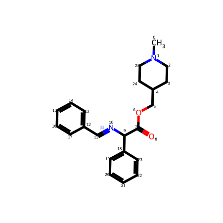 CN1CCC(COC(=O)C(/N=C/c2ccccc2)c2ccccc2)CC1